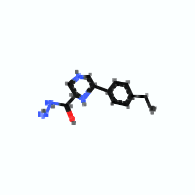 CC(C)Cc1ccc(-c2cncc(C(=O)NN)n2)cc1